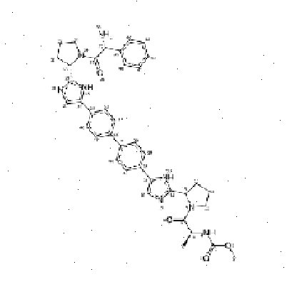 COC(=O)N[C@@H](C)C(=O)N1CCCC1c1ncc(-c2ccc(-c3ccc(-c4cnc([C@@H]5CCCN5C(=O)[C@H](N)c5ccccc5)[nH]4)cc3)cc2)[nH]1